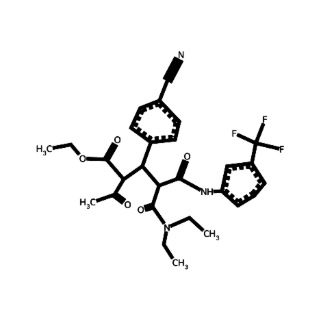 CCOC(=O)C(C(C)=O)C(c1ccc(C#N)cc1)C(C(=O)Nc1cccc(C(F)(F)F)c1)C(=O)N(CC)CC